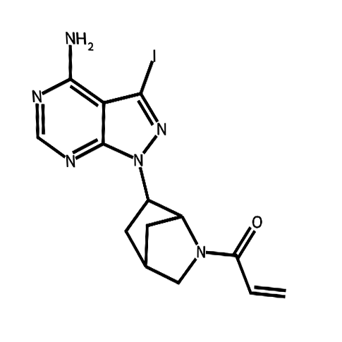 C=CC(=O)N1CC2CC1C(n1nc(I)c3c(N)ncnc31)C2